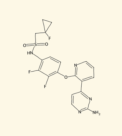 Nc1nccc(-c2cccnc2Oc2ccc(NS(=O)(=O)CC3(F)CC3)c(F)c2F)n1